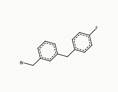 Fc1ccc(Cc2cccc(CBr)c2)cc1